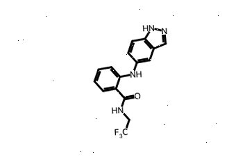 O=C(NCC(F)(F)F)c1ccccc1Nc1ccc2[nH]ncc2c1